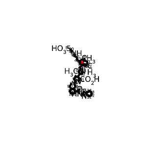 Cc1c(-c2ccc(N3CCc4cccc(C(=O)Nc5nc6ccccc6s5)c4C3)nc2C(=O)O)cnn1CC12CC3(C)CC(C)(CC(CCCNCCS(=O)(=O)O)(C3)C1)C2